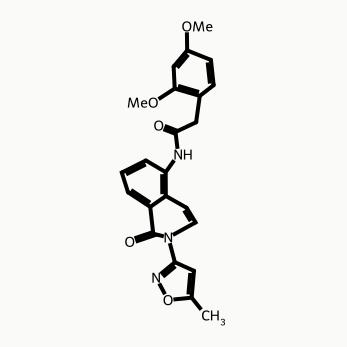 COc1ccc(CC(=O)Nc2cccc3c(=O)n(-c4cc(C)on4)ccc23)c(OC)c1